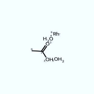 CC(=O)O.O.O.[Rh]